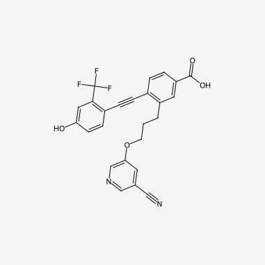 N#Cc1cncc(OCCCc2cc(C(=O)O)ccc2C#Cc2ccc(O)cc2C(F)(F)F)c1